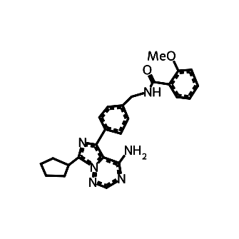 COc1ccccc1C(=O)NCc1ccc(-c2nc(C3CCCC3)n3ncnc(N)c23)cc1